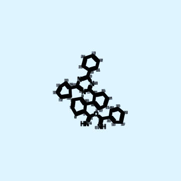 N=C(OC(=N)c1ccccc1-c1ccccc1-c1nc(-c2ccccc2)nc(-c2ccccc2)n1)c1ccccc1